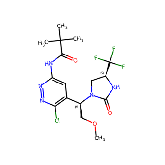 COC[C@@H](c1cc(NC(=O)C(C)(C)C)nnc1Cl)N1C[C@@H](C(F)(F)F)NC1=O